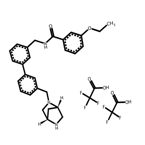 CCOc1cccc(C(=O)NCc2cccc(-c3cccc(CN4C[C@@H]5C[C@H]4CN5)c3)c2)c1.O=C(O)C(F)(F)F.O=C(O)C(F)(F)F